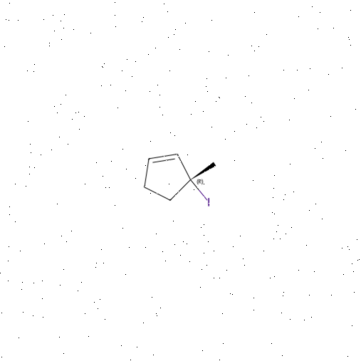 C[C@]1(I)C=CCC1